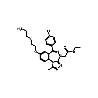 CCNC(=O)C[C@@H]1N=C(c2ccc(Cl)cc2)c2cc(OCCOCCN)ccc2-n2c(C)nnc21